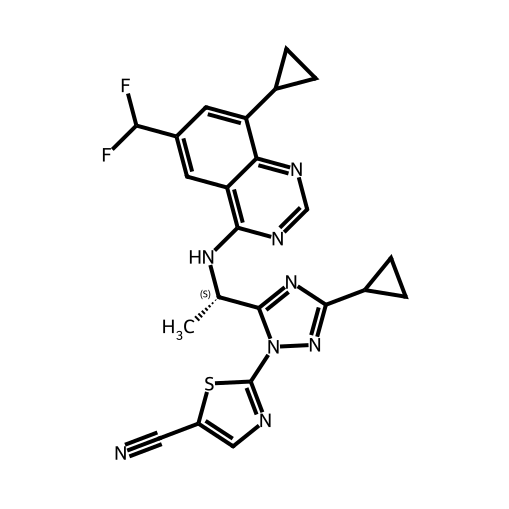 C[C@H](Nc1ncnc2c(C3CC3)cc(C(F)F)cc12)c1nc(C2CC2)nn1-c1ncc(C#N)s1